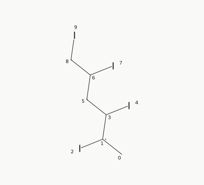 C[C](I)C(I)CC(I)CI